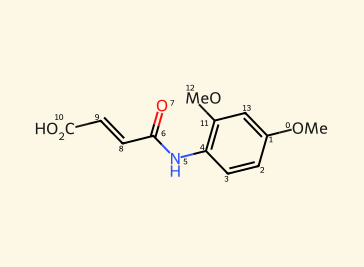 COc1ccc(NC(=O)C=CC(=O)O)c(OC)c1